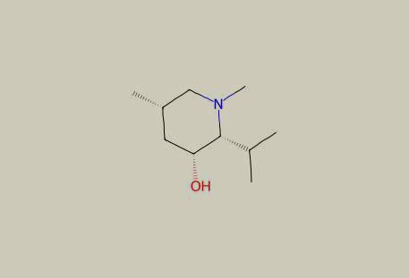 CC(C)[C@@H]1[C@H](O)C[C@H](C)CN1C